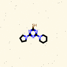 Sc1nc(N2CCCCC2)nc(N2CCCC2)n1